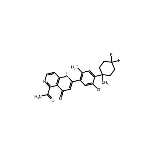 CC(=O)c1nccc2[nH]c(-c3cc(Cl)c(C4(C)CCC(F)(F)CC4)cc3C)cc(=O)c12